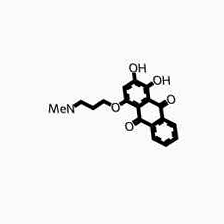 CNCCCOc1cc(O)c(O)c2c1C(=O)c1ccccc1C2=O